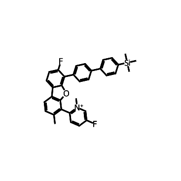 Cc1ccc2c(oc3c(-c4ccc(-c5ccc([Si](C)(C)C)cc5)cc4)c(F)ccc32)c1-c1ccc(F)c[n+]1C